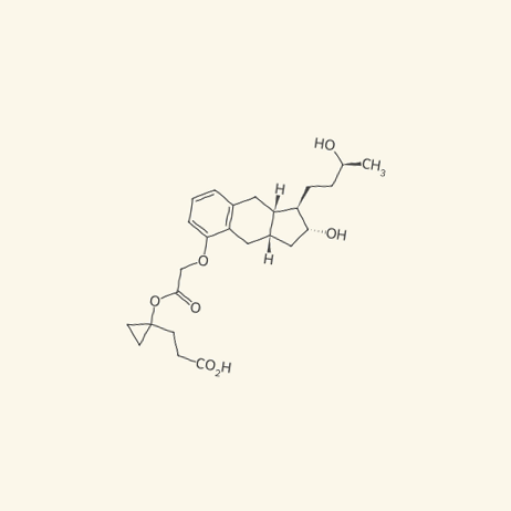 C[C@H](O)CC[C@@H]1[C@H]2Cc3cccc(OCC(=O)OC4(CCC(=O)O)CC4)c3C[C@H]2C[C@H]1O